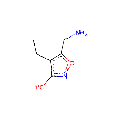 CCc1c(O)noc1CN